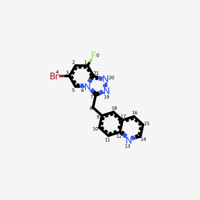 Fc1cc(Br)cn2c(Cc3ccc4ncccc4c3)nnc12